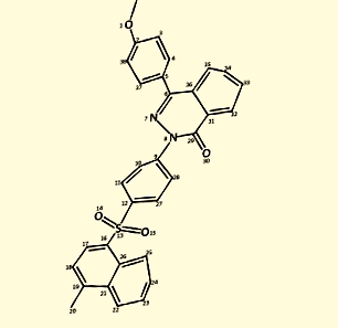 COc1ccc(-c2nn(-c3ccc(S(=O)(=O)c4ccc(C)c5ccccc45)cc3)c(=O)c3ccccc23)cc1